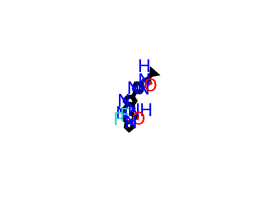 N#Cc1ncc(-c2cnc(NC(=O)C3CC3)cn2)cc1NCC(=O)N1CCC[C@@H]1C(F)F